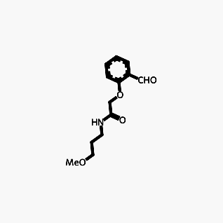 COCCCNC(=O)COc1ccccc1C=O